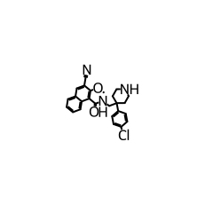 COc1c(C#N)cc2ccccc2c1C(=O)NCC1(c2ccc(Cl)cc2)CCNCC1